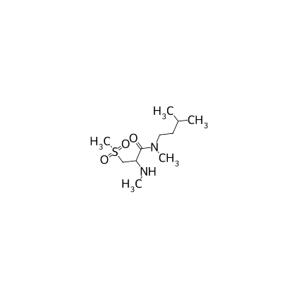 CNC(CS(C)(=O)=O)C(=O)N(C)CCC(C)C